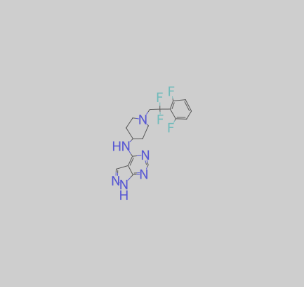 Fc1cccc(F)c1C(F)(F)CN1CCC(Nc2ncnc3[nH]ncc23)CC1